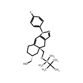 CC(C)(C)[Si](C)(C)OC[C@]12Cc3cnn(-c4ccc(F)cc4)c3C=C1CC[C@@H](CO)C2